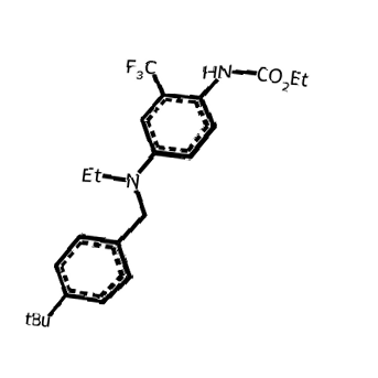 CCOC(=O)Nc1ccc(N(CC)Cc2ccc(C(C)(C)C)cc2)cc1C(F)(F)F